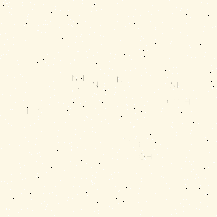 Cc1ccc(F)c(NC(=O)N2CCN(CCCC(N)(CCCCB(O)O)C(=O)O)CC2)c1